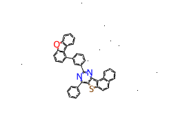 c1ccc(-c2nc(-c3cccc(-c4cccc5oc6ccccc6c45)c3)nc3c2sc2ccc4ccccc4c23)cc1